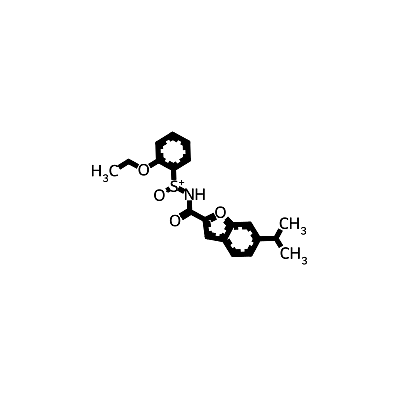 CCOc1ccccc1[S+]([O-])NC(=O)c1cc2ccc(C(C)C)cc2o1